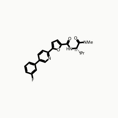 CNC(=O)[C@@H](NC(=O)c1ccc(-c2ccc(-c3cccc(F)c3)cn2)o1)C(C)C